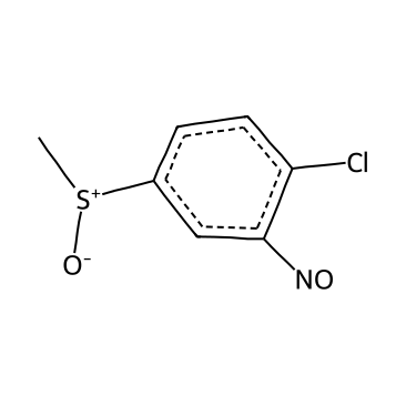 C[S+]([O-])c1ccc(Cl)c(N=O)c1